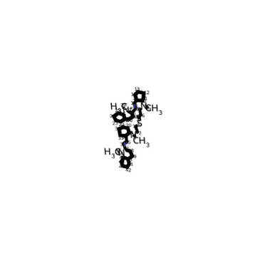 CN(CCSSCCN(C)c1ccccc1/C=C/c1ccc2ccccc2[n+]1C)c1ccccc1/C=C/c1ccc2ccccc2[n+]1C